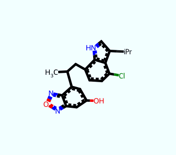 CC(C)c1c[nH]c2c(CC(C)c3cc(O)cc4nonc34)ccc(Cl)c12